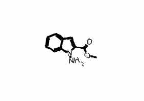 COC(=O)c1cc2ccccc2n1N